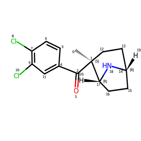 C[C@]1(C(=O)c2ccc(Cl)c(Cl)c2)CC[C@@H]2CC[C@H]1N2